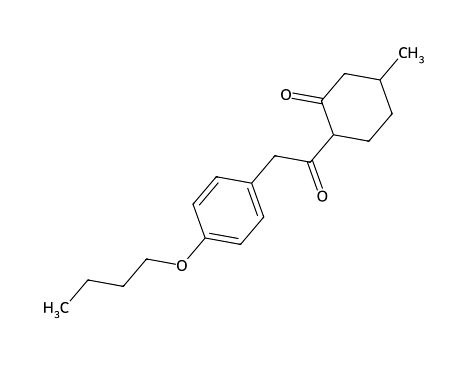 CCCCOc1ccc(CC(=O)C2CCC(C)CC2=O)cc1